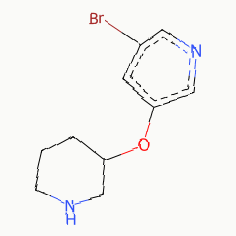 Brc1cncc(OC2CCCNC2)c1